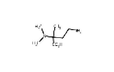 CN(C)C(C)(CCN)C(=O)O